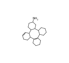 NC1CCC2C3C=CCCC3C3=C(CCCC3)C3CCCCC3C2C1